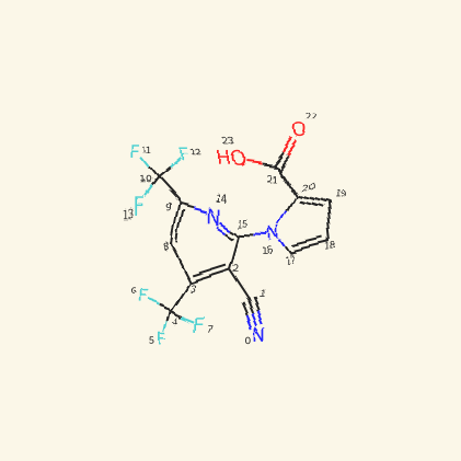 N#Cc1c(C(F)(F)F)cc(C(F)(F)F)nc1-n1cccc1C(=O)O